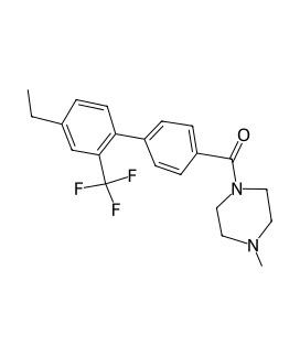 CCc1ccc(-c2ccc(C(=O)N3CCN(C)CC3)cc2)c(C(F)(F)F)c1